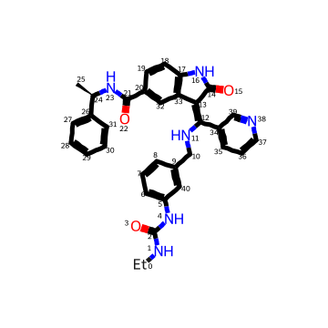 CCNC(=O)Nc1cccc(CNC(=C2C(=O)Nc3ccc(C(=O)N[C@H](C)c4ccccc4)cc32)c2cccnc2)c1